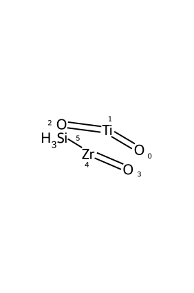 [O]=[Ti]=[O].[O]=[Zr][SiH3]